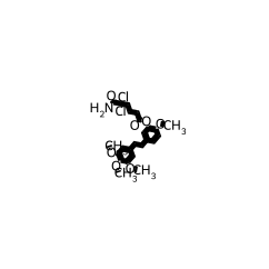 COc1ccc(CCc2cc(OC)c(OC)c(OC)c2)cc1OC(=O)CCCC(Cl)(Cl)C(N)=O